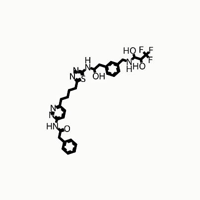 O=C(Cc1ccccc1)Nc1ccc(CCCCc2nnc(NC(O)Cc3cccc(CNC(O)C(O)C(F)(F)F)c3)s2)nn1